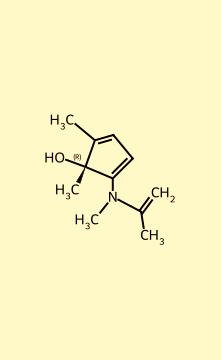 C=C(C)N(C)C1=CC=C(C)[C@@]1(C)O